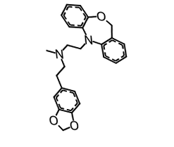 CN(CCc1ccc2c(c1)OCO2)CCN1c2ccccc2COc2ccccc21